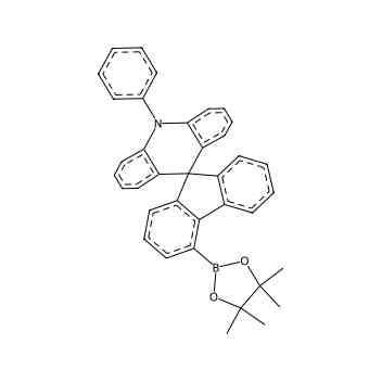 CC1(C)OB(c2cccc3c2-c2ccccc2C32c3ccccc3N(c3ccccc3)c3ccccc32)OC1(C)C